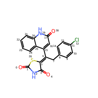 O=C1NC(=O)C(=C(Cc2ccc(Cl)cc2)c2cc(=O)[nH]c3ccccc23)S1